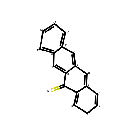 S=C1C2=CCC=CC2=Cc2cc3ccccc3cc21